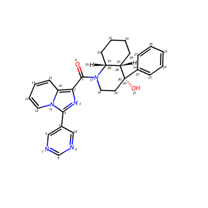 O=C(c1nc(-c2cncnc2)n2ccccc12)N1CC[C@](O)(c2ccccc2)[C@H]2CCCC[C@H]21